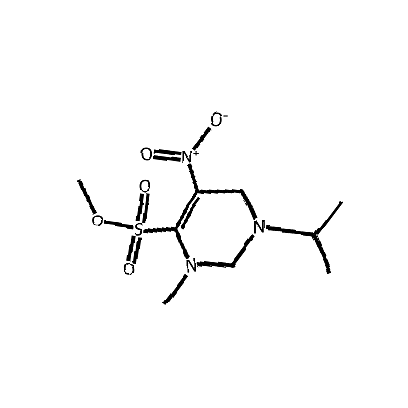 COS(=O)(=O)C1=C([N+](=O)[O-])CN(C(C)C)CN1C